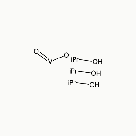 CC(C)O.CC(C)O.CC(C)O.[O][V]=[O]